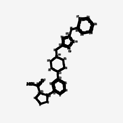 O=C(O)[C@@H]1CCCN1c1cccc(C2CCN(Cc3cn(Cc4ccccn4)nn3)CC2)c1